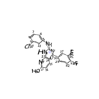 O=C(/N=C(/Nc1cccc(Cl)c1)Nc1cccc(O)n1)c1ccc(F)c(F)c1